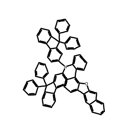 c1ccc(C2(c3ccccc3)c3ccccc3-c3ccc(N(c4ccc5c(c4)C(c4ccccc4)(c4ccccc4)c4ccccc4-5)c4ccccc4-c4cccc5c4oc4cc6ccccc6cc45)cc32)cc1